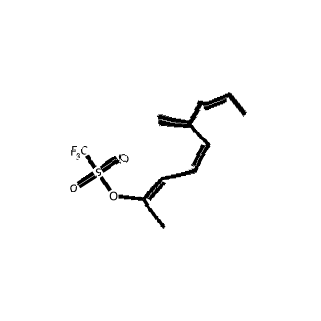 C=C(/C=C\C)/C=C\C=C(/C)OS(=O)(=O)C(F)(F)F